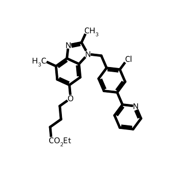 CCOC(=O)CCCOc1cc(C)c2nc(C)n(Cc3ccc(-c4ccccn4)cc3Cl)c2c1